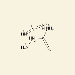 N=[N+]=N.NNC(N)=S